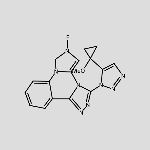 COC1(c2cnnn2-c2nnc3n2C2=CN(F)CN2c2ccccc2-3)CC1